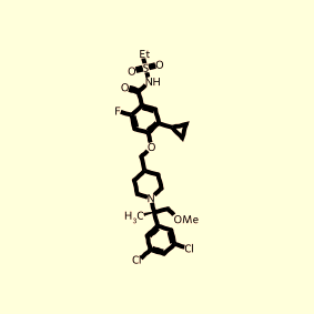 CCS(=O)(=O)NC(=O)c1cc(C2CC2)c(OCC2CCN([C@](C)(COC)c3cc(Cl)cc(Cl)c3)CC2)cc1F